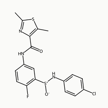 Cc1nc(C(=O)Nc2ccc(F)c([S+]([O-])Nc3ccc(Cl)cc3)c2)c(C)s1